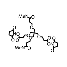 CNC(=O)CCOCC(COCCC(=O)NC)(COCCC(=O)ON1C(=O)CCC1=O)COCCC(=O)ON1C(=O)CCC1=O